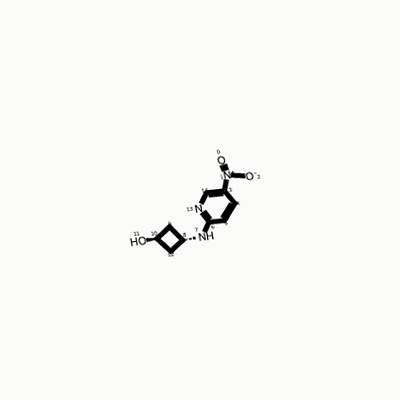 O=[N+]([O-])c1ccc(N[C@H]2C[C@H](O)C2)nc1